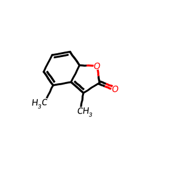 CC1=CC=CC2OC(=O)C(C)=C12